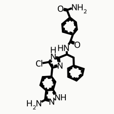 NC(=O)c1ccc(C(=O)NC(Cc2ccccc2)c2nc(-c3ccc4c(N)n[nH]c4c3)c(Cl)[nH]2)cc1